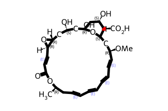 CO[C@H]1/C=C/C=C/C=C/C=C/C[C@@H](C)OC(=O)/C=C/[C@H]2O[C@@H]2C[C@H](O)C[C@]2(O)C[C@H](O)[C@@H](C(=O)O)[C@H](C1)O2